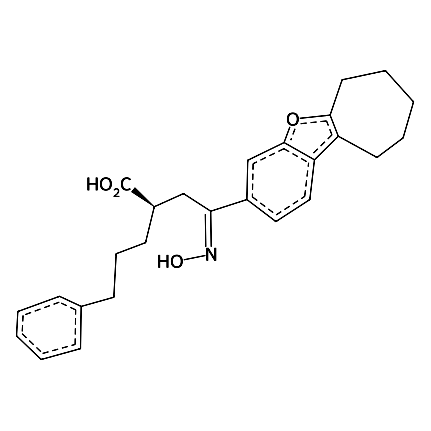 O=C(O)[C@H](CCCc1ccccc1)CC(=NO)c1ccc2c3c(oc2c1)CCCCC3